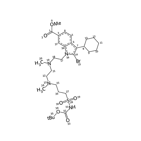 COC(=O)c1ccc2c(C3CCCCC3)c(Br)n(CCN(C)CCN(C)CCCS(=O)(=O)NC(=O)OC(C)(C)C)c2c1